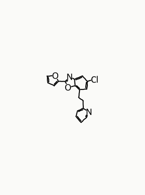 Clc1cc(CCc2ccccn2)c2oc(-c3ccco3)nc2c1